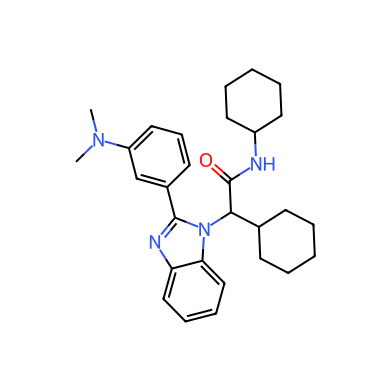 CN(C)c1cccc(-c2nc3ccccc3n2C(C(=O)NC2CCCCC2)C2CCCCC2)c1